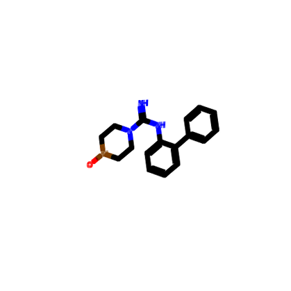 N=C(Nc1ccccc1-c1ccccc1)N1CC[S+]([O-])CC1